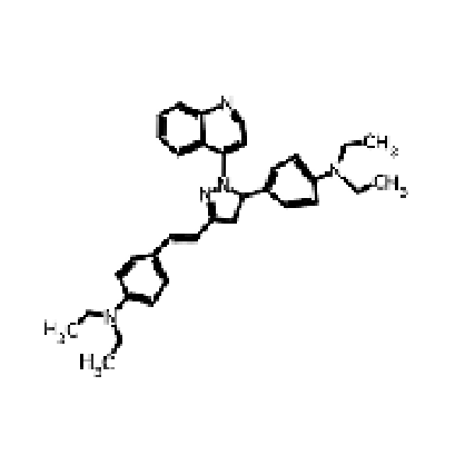 CCN(CC)c1ccc(C=CC2=NN(c3ccnc4ccccc34)C(c3ccc(N(CC)CC)cc3)C2)cc1